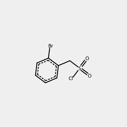 O=S(=O)(Cl)Cc1ccccc1Br